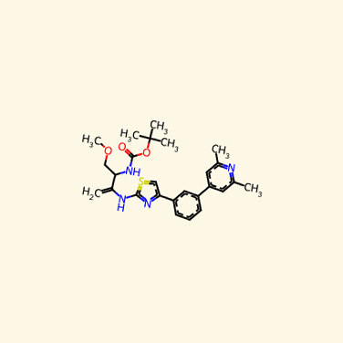 C=C(Nc1nc(-c2cccc(-c3cc(C)nc(C)c3)c2)cs1)C(COC)NC(=O)OC(C)(C)C